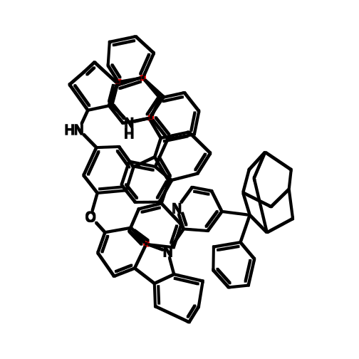 c1ccc(-c2cccc(-c3ccccc3)c2Nc2ccccc2Nc2cc(Oc3ccc4c5ccccc5n(-c5cc(C6(c7ccccc7)C7CC8CC(C7)CC6C8)ccn5)c4c3)cc(-c3c(-c4ccccc4)cccc3-c3ccccc3)c2)cc1